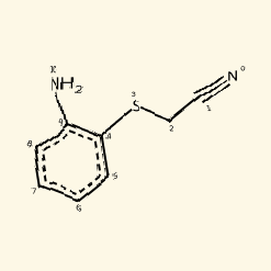 N#CCSc1ccccc1N